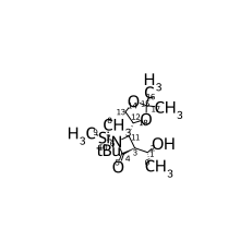 C[C@@H](O)[C@H]1C(=O)N([Si](C)(C)C(C)(C)C)[C@@H]1C1COC(C)(C)O1